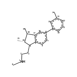 CNCCC1c2ccc(-c3cccc(C)c3)cc2C(C)[C@H]1C